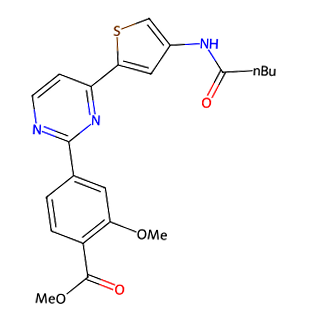 CCCCC(=O)Nc1csc(-c2ccnc(-c3ccc(C(=O)OC)c(OC)c3)n2)c1